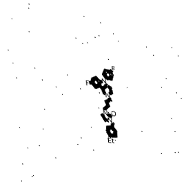 CCc1ccc(CN2CCN(CCCCN3CCC4C(C3)c3cc(F)ccc3N4c3ccc(F)cc3)C2=O)cc1